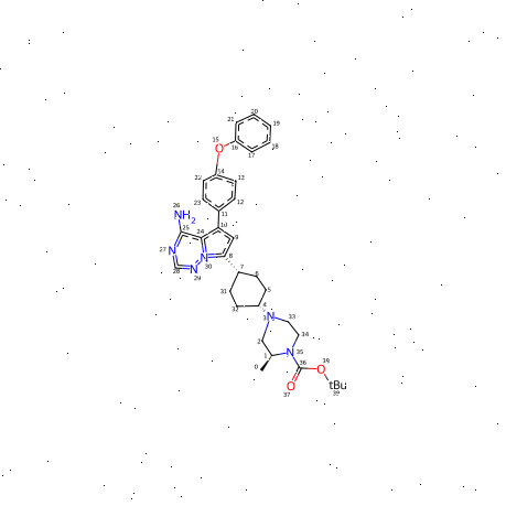 C[C@H]1CN([C@H]2CC[C@@H](c3cc(-c4ccc(Oc5ccccc5)cc4)c4c(N)ncnn43)CC2)CCN1C(=O)OC(C)(C)C